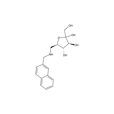 OCC1(O)O[C@H](CNCc2ccc3ccccc3c2)[C@@H](O)[C@@H]1O